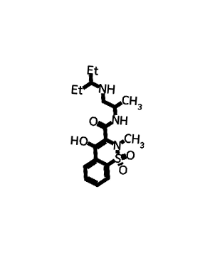 CCC(CC)NCC(C)NC(=O)C1=C(O)c2ccccc2S(=O)(=O)N1C